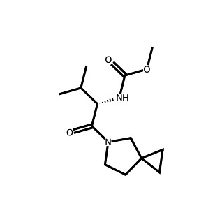 COC(=O)N[C@H](C(=O)N1CCC2(CC2)C1)C(C)C